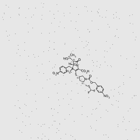 C[C@@H](O)[C@H]1C(=O)N2C(C(=O)O)=C(S[C@H]3C[C@@H](CSC(F)F)N(C(=O)OCc4ccc([N+](=O)[O-])cc4)C3)[C@](C)(Cc3ccc([N+](=O)[O-])cc3)[C@H]12